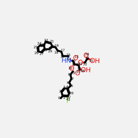 Cc1ccc(CCCCCOC(C(=O)NCCCCCc2ccc3ccccc3c2)C(OCC(=O)O)C(=O)O)cc1F